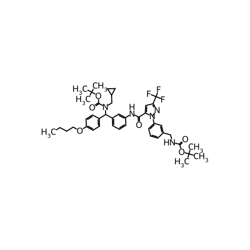 CCCCOc1ccc(C(c2cccc(NC(=O)c3cc(C(F)(F)F)nn3-c3cccc(CNC(=O)OC(C)(C)C)c3)c2)N(CC2CC2)C(=O)OC(C)(C)C)cc1